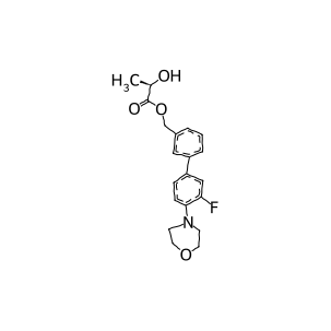 C[C@@H](O)C(=O)OCc1cccc(-c2ccc(N3CCOCC3)c(F)c2)c1